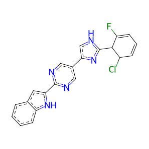 FC1=CC=CC(Cl)C1c1nc(-c2cnc(-c3cc4ccccc4[nH]3)nc2)c[nH]1